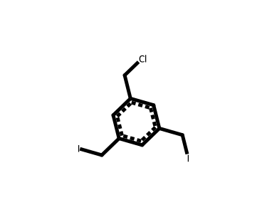 ClCc1cc(CI)cc(CI)c1